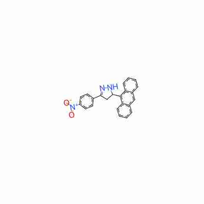 O=[N+]([O-])c1ccc(C2=NNC(c3c4ccccc4cc4ccccc34)C2)cc1